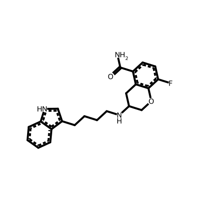 NC(=O)c1ccc(F)c2c1CC(NCCCCc1c[nH]c3ccccc13)CO2